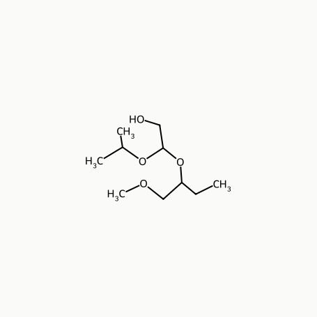 CCC(COC)OC(CO)OC(C)C